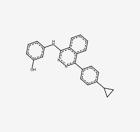 Oc1cccc(Nc2nnc(-c3ccc(C4CC4)cc3)c3ccccc23)c1